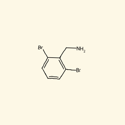 NCc1c(Br)cccc1Br